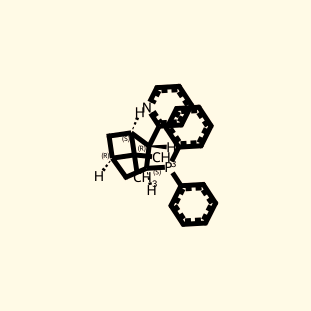 CC1(C)[C@H]2C[C@H](P(c3ccccc3)c3ccccc3)[C@@H](c3ccccn3)[C@@H]1C2